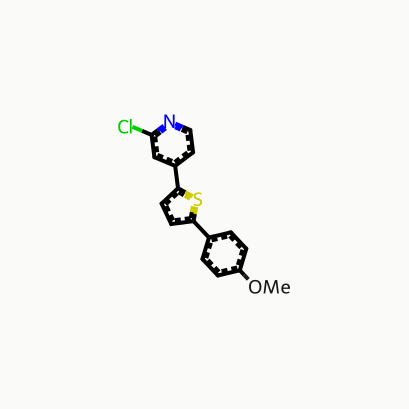 COc1ccc(-c2ccc(-c3ccnc(Cl)c3)s2)cc1